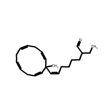 CCC(C=O)CCCC/C=C\C1(C)/C=C\C/C=C\C/C=C\C/C=C\1